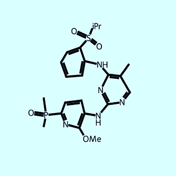 COc1nc(P(C)(C)=O)ccc1Nc1ncc(C)c(Nc2ccccc2S(=O)(=O)C(C)C)n1